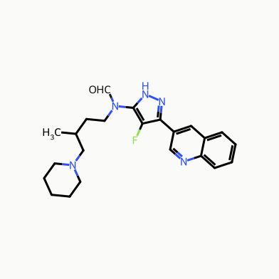 CC(CCN(C=O)c1[nH]nc(-c2cnc3ccccc3c2)c1F)CN1CCCCC1